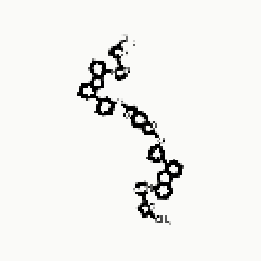 Cc1ccc(-c2nccn2-c2cccc3c2Cc2c(-c4cccc(Oc5cc6cc7oc(Oc8cccc(-c9cccc%10c9Cc9c-%10cccc9-n9ccnc9-c9ccc(C)o9)c8)cc7cc6o5)c4)cccc2-3)o1